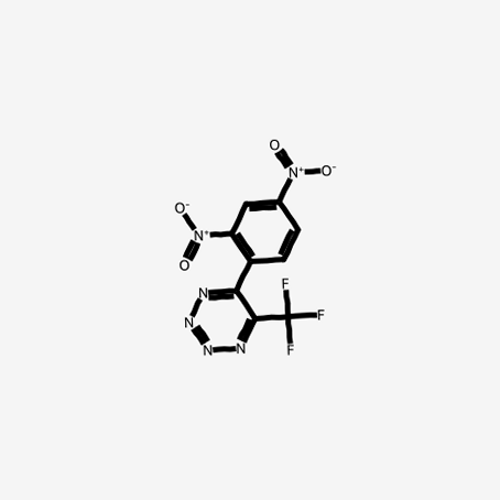 O=[N+]([O-])c1ccc(-c2nnnnc2C(F)(F)F)c([N+](=O)[O-])c1